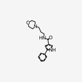 O=C(NCCCN1CCOCC1)c1c[nH]c(-c2ccccc2)c1